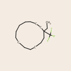 CCC1(C(F)(F)F)CCCCCCCCCCCCC1